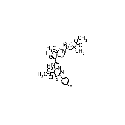 COC(=O)C(C)(C)CC(=O)N1CCN(C(=O)c2cn3nc(-c4ccc(F)cc4)cc(C(C)(C)C)c3n2)C(C)(C)C1